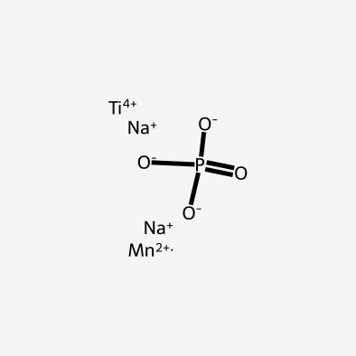 O=P([O-])([O-])[O-].[Mn+2].[Na+].[Na+].[Ti+4]